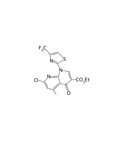 CCOC(=O)c1cn(-c2nc(C(F)(F)F)cs2)c2nc(Cl)cc(C)c2c1=O